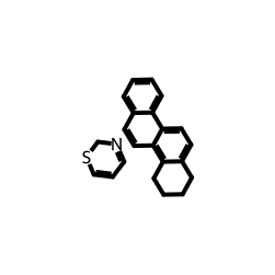 C1=CSCN=C1.c1ccc2c(c1)ccc1c3c(ccc12)CCCC3